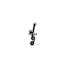 COC(=O)C(CCCCCC=O)NCC1CCN(Cc2ccccc2)CC1